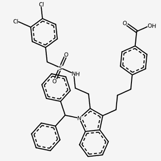 O=C(O)c1ccc(CCCc2c(CCNS(=O)(=O)Cc3ccc(Cl)c(Cl)c3)n(C(c3ccccc3)c3ccccc3)c3ccccc23)cc1